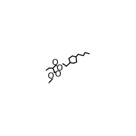 CCCCC1CCC(CCOC(=O)C(CC)C(=O)OCC)CC1